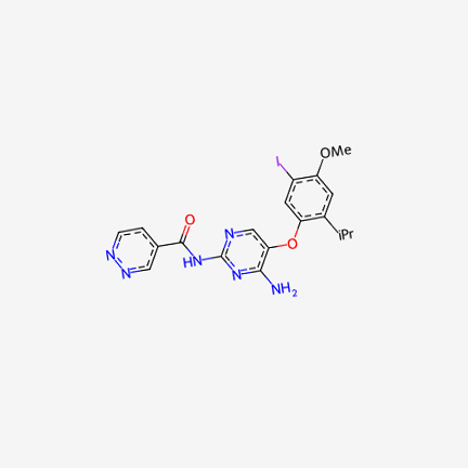 COc1cc(C(C)C)c(Oc2cnc(NC(=O)c3ccnnc3)nc2N)cc1I